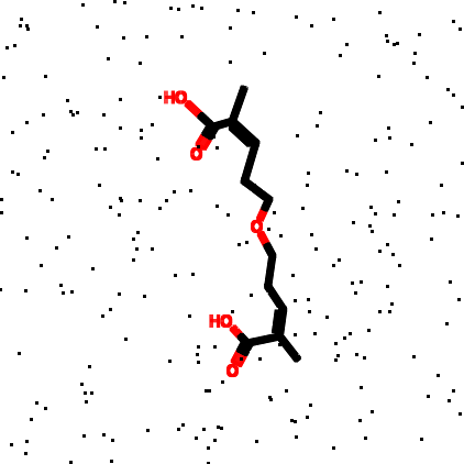 CC(=CCCOCCC=C(C)C(=O)O)C(=O)O